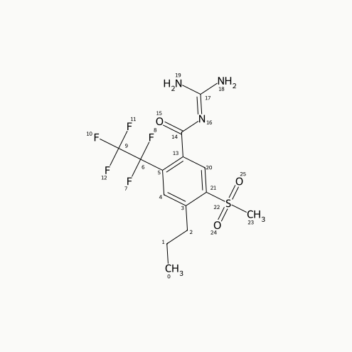 CCCc1cc(C(F)(F)C(F)(F)F)c(C(=O)N=C(N)N)cc1S(C)(=O)=O